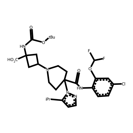 CC(C)c1ccnn1C1(C(=O)Nc2ccc(Cl)cc2OC(F)F)CCN(C2CC(NC(=O)OC(C)(C)C)(C(=O)O)C2)CC1